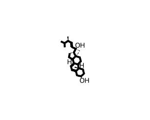 CC(C)[C@@H](C)C=C[C@@](C)(O)[C@H]1CC[C@H]2C3=CC=C4C[C@@H](O)CC[C@@]4(C)[C@@H]3CC[C@@]21C